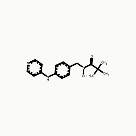 CC(C)(C)C(=O)N(O)Cc1ccc(Nc2ccncc2)cc1